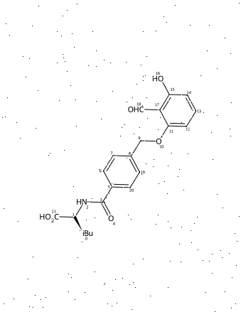 CC[C@H](C)C(NC(=O)c1ccc(COc2cccc(O)c2C=O)cc1)C(=O)O